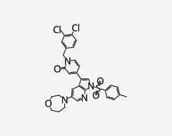 Cc1ccc(S(=O)(=O)n2cc(-c3ccn(Cc4ccc(Cl)c(Cl)c4)c(=O)c3)c3cc(N4CCCOCC4)cnc32)cc1